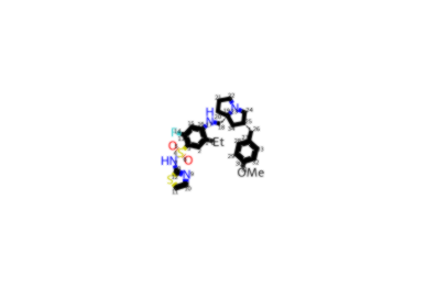 CCc1cc(S(=O)(=O)Nc2nccs2)c(F)cc1NC[C@]12CCCN1C[C@H](Cc1ccc(OC)cc1)C2